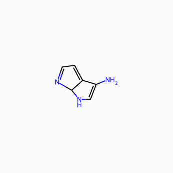 NC1=CNC2N=CC=C12